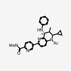 CNC(=O)c1ccc(-c2ccc3c(n2)[C@H](Nc2ccccc2)C(C)C(C2CC2)N3C(C)=O)cn1